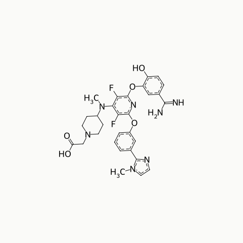 CN(c1c(F)c(Oc2cccc(-c3nccn3C)c2)nc(Oc2cc(C(=N)N)ccc2O)c1F)C1CCN(CC(=O)O)CC1